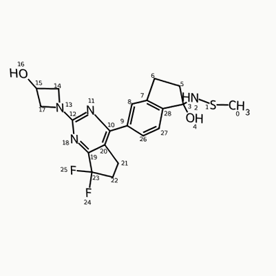 CSNC1(O)CCc2cc(-c3nc(N4CC(O)C4)nc4c3CCC4(F)F)ccc21